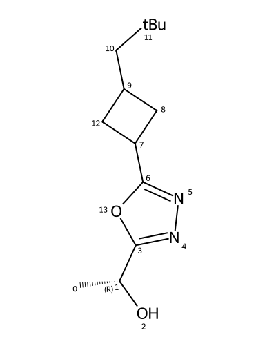 C[C@@H](O)c1nnc(C2CC(CC(C)(C)C)C2)o1